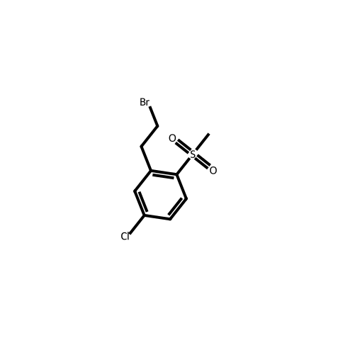 CS(=O)(=O)c1ccc(Cl)cc1CCBr